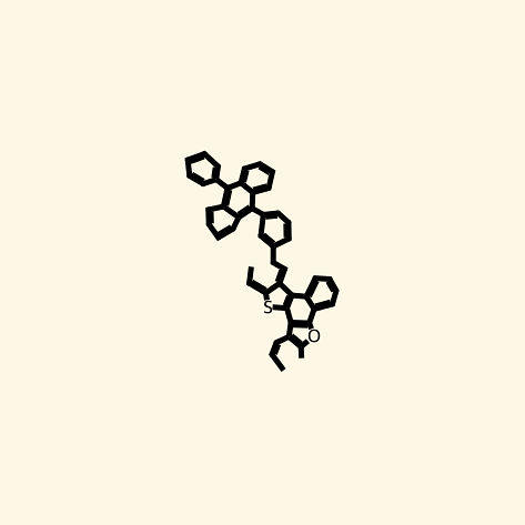 C/C=C\c1c(C)oc2c3ccccc3c3c(=C/Cc4cccc(-c5c6ccccc6c(-c6ccccc6)c6ccccc56)c4)/c(=C\C)sc3c12